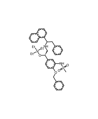 CC[Si](CC)(CC)O[C@@H](CNC(Cc1ccccc1)c1cccc2ccccc12)c1ccc(OCc2ccccc2)c(NS(C)(=O)=O)c1